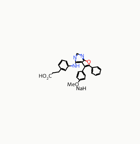 COc1ccc(-c2c(-c3ccccc3)oc3ncnc(Nc4cccc(CCC(=O)O)c4)c23)cc1.[NaH]